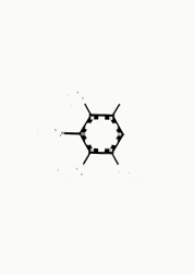 CCc1cc(C(=O)O)c([N+](=O)[O-])c(N)c1[N+](=O)[O-]